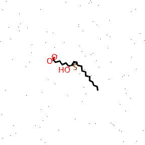 CCCCCCCCCCc1ccc(C(O)CCCCC(=O)OC)s1